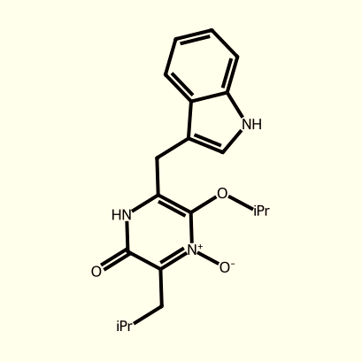 CC(C)Cc1c(=O)[nH]c(Cc2c[nH]c3ccccc23)c(OC(C)C)[n+]1[O-]